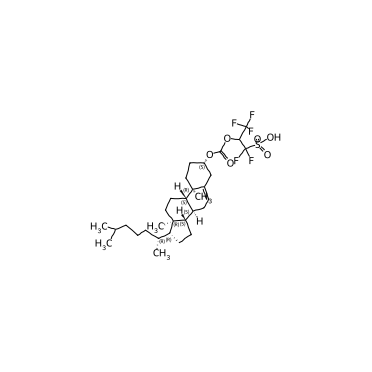 CC(C)CCC[C@@H](C)[C@H]1CC[C@H]2[C@@H]3CC=C4C[C@@H](OC(=O)OC(C(F)(F)F)C(F)(F)S(=O)(=O)O)CC[C@]4(C)[C@H]3CC[C@]12C